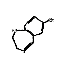 Brc1ccc2c(c1)C=NCCN2